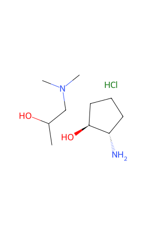 CC(O)CN(C)C.Cl.N[C@H]1CCC[C@@H]1O